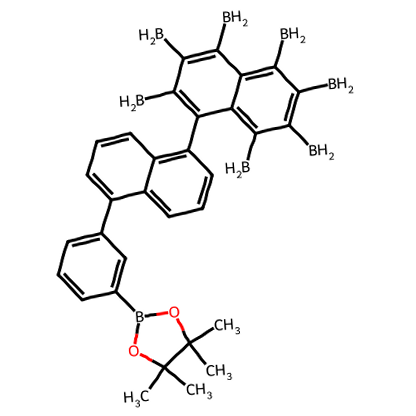 Bc1c(B)c(B)c2c(-c3cccc4c(-c5cccc(B6OC(C)(C)C(C)(C)O6)c5)cccc34)c(B)c(B)c(B)c2c1B